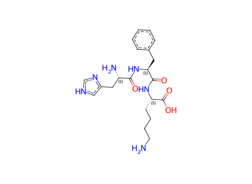 NCCCC[C@H](NC(=O)[C@H](Cc1ccccc1)NC(=O)[C@@H](N)Cc1c[nH]cn1)C(=O)O